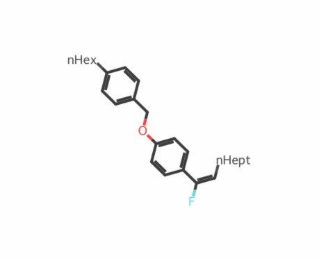 CCCCCCC/C=C(/F)c1ccc(OCc2ccc(CCCCCC)cc2)cc1